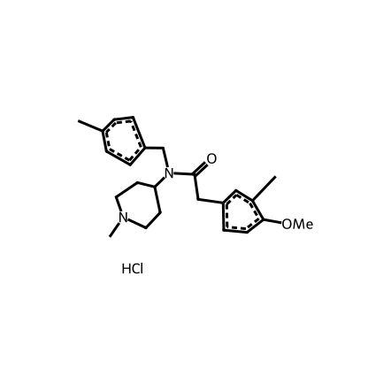 COc1ccc(CC(=O)N(Cc2ccc(C)cc2)C2CCN(C)CC2)cc1C.Cl